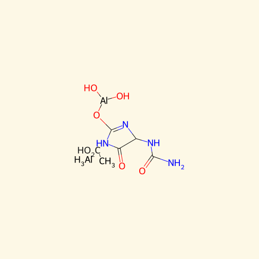 CC(=O)O.NC(=O)NC1N=C([O][Al]([OH])[OH])NC1=O.[AlH3]